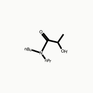 CCCCN(CCC)C(=O)C(C)O